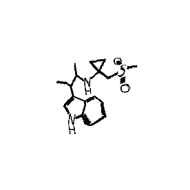 CC(NC1(CS(C)(=O)=O)CC1)C(C)c1c[nH]c2ccccc12